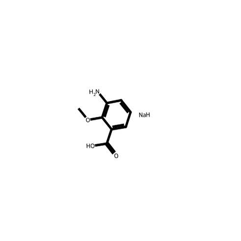 COc1c(N)cccc1C(=O)O.[NaH]